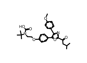 COc1ccc(-c2nc(C(=O)CC(C)C)oc2-c2ccc(OCCN(C(=O)O)C(C)(C)C)cc2)cc1